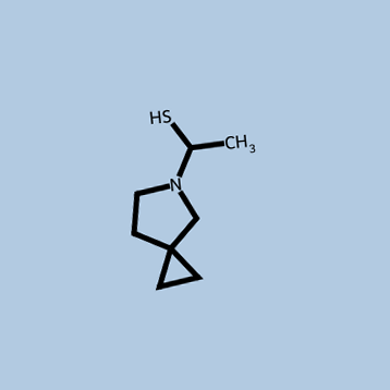 CC(S)N1CCC2(CC2)C1